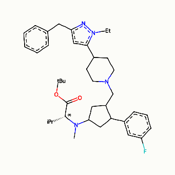 CCn1nc(Cc2ccccc2)cc1C1CCN(CC2CC(N(C)[C@@H](C(=O)OC(C)(C)C)C(C)C)CC2c2cccc(F)c2)CC1